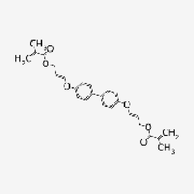 C=C(C)C(=O)OC/C=C/Oc1ccc(-c2ccc(O/C=C/COC(=O)C(=C)C)cc2)cc1